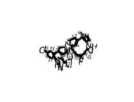 C[C@H]1C(=O)Nc2ccn(C)c2-c2ccnc(c2)[C@@H](N2CCC(c3cc(Cl)ccc3-n3cc(Cl)nn3)=CC2=O)CCC1F